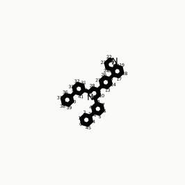 c1ccc(-c2cccc(-c3cc(-c4ccc(-c5cccc6ncccc56)cc4)cc(-c4cccc(-c5ccccc5)c4)n3)c2)cc1